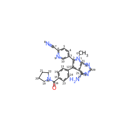 Cn1c(-c2ccc(C#N)nc2)c(-c2ccc(C(=O)N3CCCC3)cc2)c2c(N)ncnc21